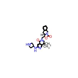 CC1(C)CN(CC2OC(=O)N3Cc4ccccc4C[C@@H]23)C(=O)c2cc(NC3CCNCC3)ncc21